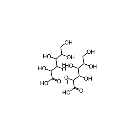 O=C(O)C(O)C(O)C(O)C(O)CO.O=C(O)C(O)C(O)C(O)C(O)CO